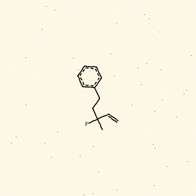 C=CC(C)(F)CCc1ccccc1